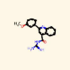 COc1cccc(-c2cc(C(=O)NC(=N)N)c3ccccc3n2)c1